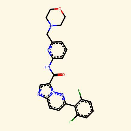 O=C(Nc1cccc(CN2CCOCC2)n1)c1cnc2ccc(-c3c(F)cccc3F)nn12